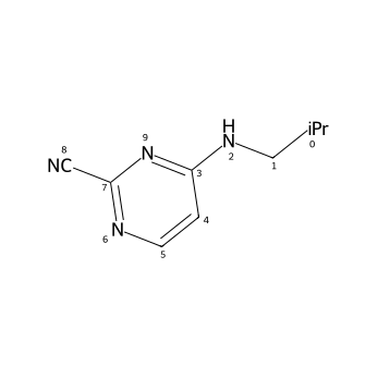 CC(C)CNc1ccnc(C#N)n1